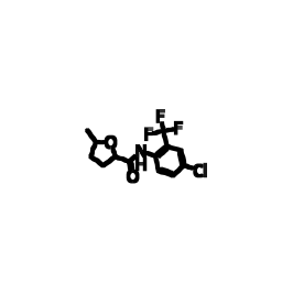 CC1CCC(C(=O)Nc2ccc(Cl)cc2C(F)(F)F)O1